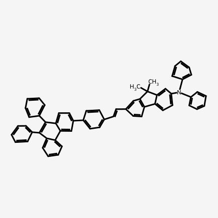 CC1(C)c2cc(/C=C/c3ccc(-c4ccc5c(-c6ccccc6)c(-c6ccccc6)c6ccccc6c5c4)cc3)ccc2-c2ccc(N(c3ccccc3)c3ccccc3)cc21